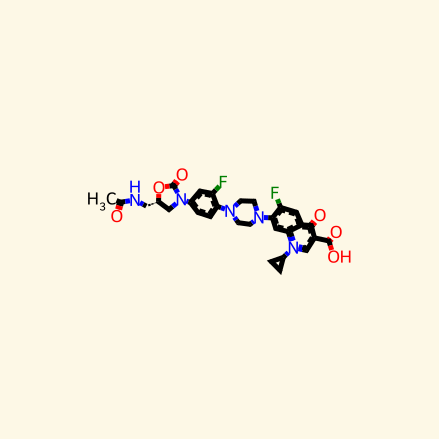 CC(=O)NC[C@H]1CN(c2ccc(N3CCN(c4cc5c(cc4F)c(=O)c(C(=O)O)cn5C4CC4)CC3)c(F)c2)C(=O)O1